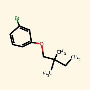 CCC(C)(C)COc1cccc(Br)c1